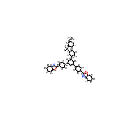 CC(C)(C)c1ccc2c(c1)C(C)(C)c1cc(-c3cc(-c4ccc(-c5nc6ccccc6o5)cc4)cc(-c4ccc(-c5nc6ccccc6o5)cc4)c3)ccc1-2